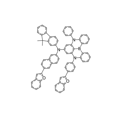 CC1(C)c2ccccc2-c2ccc(N(c3cc4c5c(c3)N(c3ccc(-c6cc7ccccc7o6)cc3)c3ccccc3B5c3ccccc3N4c3ccccc3)c3ccc4cc(-c5cc6ccccc6o5)ccc4c3)cc21